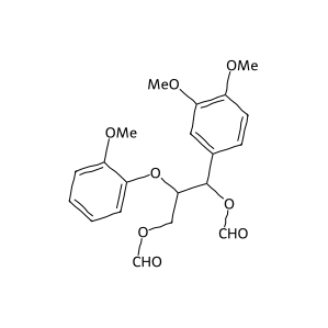 COc1ccc(C(OC=O)C(COC=O)Oc2ccccc2OC)cc1OC